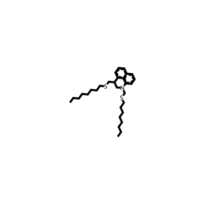 CCCCCCCCSCC1CN(CSCCCCCCCC)c2cccc3cccc1c23